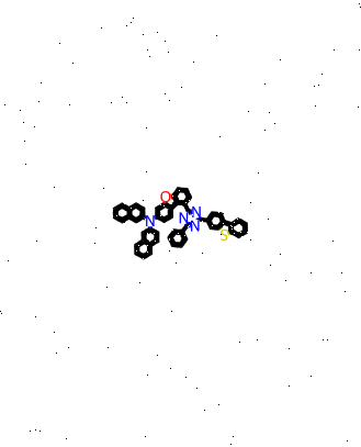 c1ccc(-c2nc(-c3ccc4c(c3)sc3ccccc34)nc(-c3cccc4oc5cc(N(c6ccc7ccccc7c6)c6ccc7ccccc7c6)ccc5c34)n2)cc1